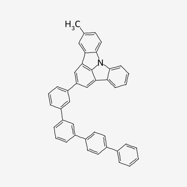 Cc1ccc2c(c1)c1cc(-c3cccc(-c4cccc(-c5ccc(-c6ccccc6)cc5)c4)c3)cc3c4ccccc4n2c31